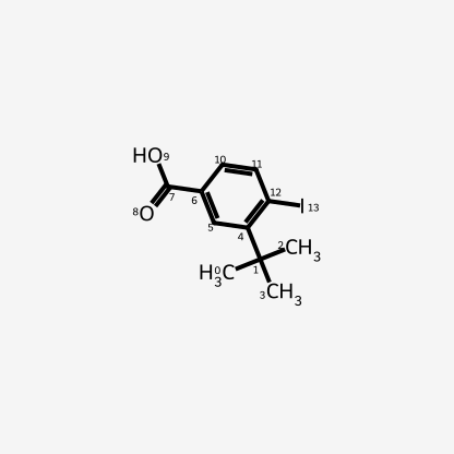 CC(C)(C)c1cc(C(=O)O)ccc1I